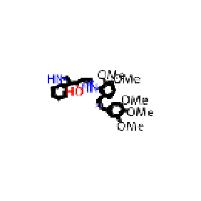 COc1cc(/C=C\c2ccc(OC)c(OC)c2N/C=C\C(O)c2c[nH]c3ccccc23)cc(OC)c1OC